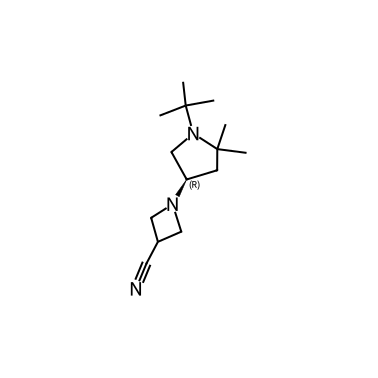 CC(C)(C)N1C[C@H](N2CC(C#N)C2)CC1(C)C